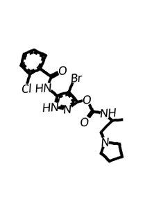 CC(CN1CCCC1)NC(=O)Oc1n[nH]c(NC(=O)c2ccccc2Cl)c1Br